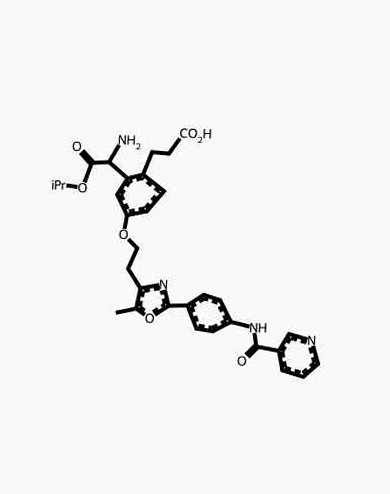 Cc1oc(-c2ccc(NC(=O)c3cccnc3)cc2)nc1CCOc1ccc(CCC(=O)O)c(C(N)C(=O)OC(C)C)c1